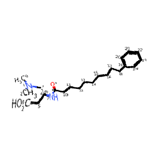 CN(C)C[C@@H](CC(=O)O)NC(=O)CCCCCCCCCc1ccccc1